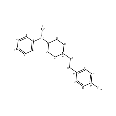 [O-][S+](c1ccncc1)C1CCN(CCc2ccc(F)cc2)CC1